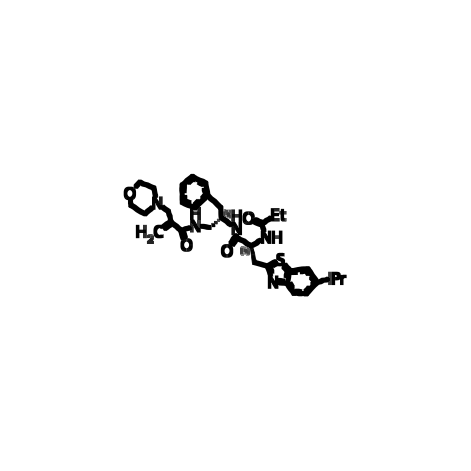 C=C(CN1CCOCC1)C(=O)NC[C@H](Cc1ccccc1)NC(=O)[C@H](Cc1nc2ccc(C(C)C)cc2s1)NC(=O)CC